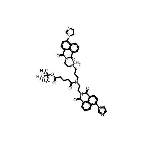 CN(CCCN(CCN1C(=O)c2cccc3c(-n4ccnc4)ccc(c23)C1=O)C(=O)CCCC(=O)OC(C)(C)C)CCN1C(=O)c2cccc3c(N4C=NCC4)ccc(c23)C1=O